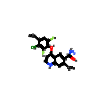 CNc1cc(F)c(Oc2ccnc3cc(OC)c(C(N)=O)cc23)c(F)c1Cl